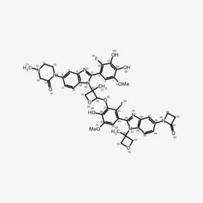 COc1cc(-c2nc3cc(N4CCN(C)CC4=O)ccc3n2C2(C)COC2Oc2c(O)c(OC)cc(-c3nc4cc(N5CCC5=O)ccc4n3C3(C)COC3)c2F)c(F)c(O)c1O